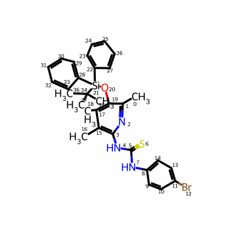 Cc1nc(NC(=S)Nc2ccc(Br)cc2)c(C)c(C)c1O[Si](c1ccccc1)(c1ccccc1)C(C)(C)C